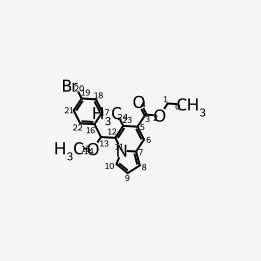 CCOC(=O)c1cc2cccn2c(C(OC)c2ccc(Br)cc2)c1C